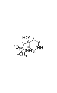 CS(=N)(=O)CC1(O)CCNCC1